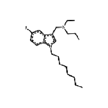 CCCCCCCCn1cc(CN(CC)CCC)c2cc(F)ccc21